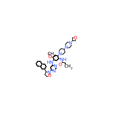 C=CC(=O)Nc1cc(Nc2cc(N3OCCC3c3ccc4ccccc4c3)ncn2)c(OC)cc1N1CCC(N2CCN(C3COC3)CC2)CC1